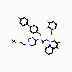 [2H]c1c(SCc2cccc(F)c2F)n(CC(=O)N(Cc2ccc(-c3ccc(C(F)(F)F)cc3)cc2)C2CCN(CCOC([2H])([2H])[2H])CC2)c2ccccc2c1=O